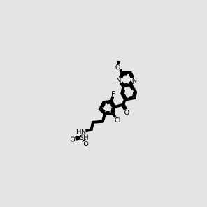 COc1cnc2ccc(C(=O)c3c(F)ccc(CCCN[SH](=O)=O)c3Cl)cc2n1